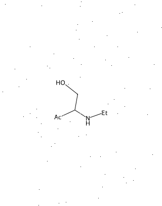 CCNC(CO)C(C)=O